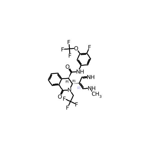 CN/C=C(\C=N)[C@H]1[C@H](C(=O)Nc2ccc(F)c(OC(F)(F)F)c2)c2ccccc2C(=O)N1CC(F)(F)F